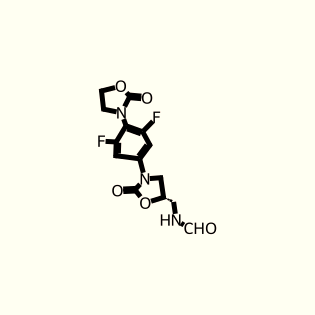 O=CNC[C@H]1CN(c2cc(F)c(N3CCOC3=O)c(F)c2)C(=O)O1